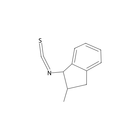 CC1Cc2ccccc2C1N=C=S